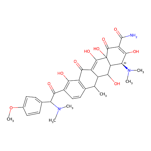 COc1ccc(C(C(=O)c2ccc3c(c2O)C(=O)C2=C(O)C4(O)C(=O)C(C(N)=O)=C(O)[C@@H](N(C)C)C4C(O)C2C3C)N(C)C)cc1